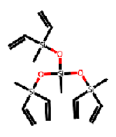 C=C[Si](C)(C=C)O[Si](C)(O[Si](C)(C=C)C=C)O[Si](C)(C=C)C=C